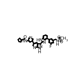 CS(=O)(=O)NCc1cc(F)cc(-c2cccc3[nH]c(-c4n[nH]c5ncc(-c6cncc(NC(=O)C7CCCC7)c6)cc45)nc23)c1